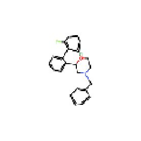 Fc1cccc(Cl)c1-c1ccccc1C1CN(Cc2ccccc2)CCO1